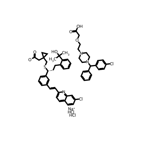 CC(C)(O)c1ccccc1CC[C@@H](SCC1(CC(=O)[O-])CC1)c1cccc(/C=C/c2ccc3ccc(Cl)cc3n2)c1.Cl.Cl.O=C(O)COCCN1CCN(C(c2ccccc2)c2ccc(Cl)cc2)CC1.[Na+]